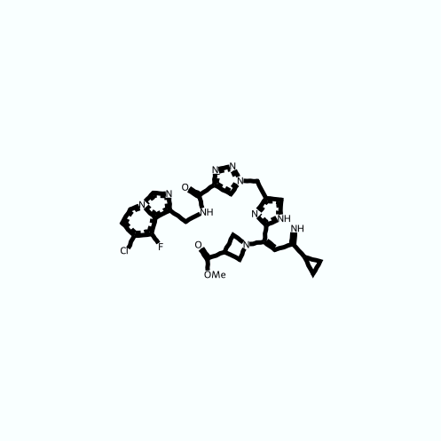 COC(=O)C1CN(/C(=C/C(=N)C2CC2)c2nc(Cn3cc(C(=O)NCc4ncn5ccc(Cl)c(F)c45)nn3)c[nH]2)C1